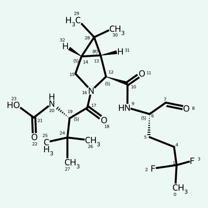 CC(F)(F)CC[C@@H](C=O)NC(=O)[C@@H]1[C@@H]2[C@H](CN1C(=O)[C@@H](NC(=O)O)C(C)(C)C)C2(C)C